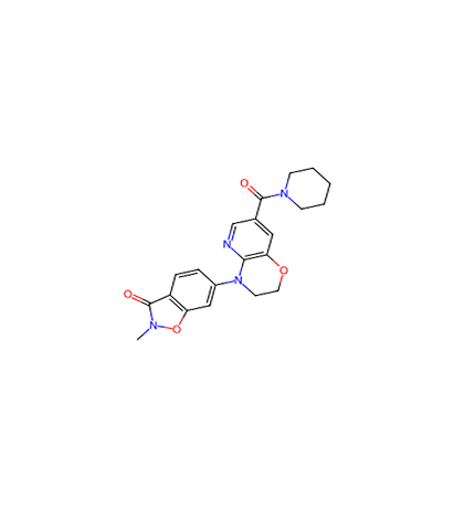 Cn1oc2cc(N3CCOc4cc(C(=O)N5CCCCC5)cnc43)ccc2c1=O